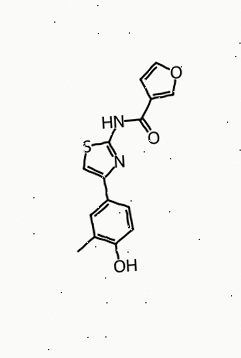 Cc1cc(-c2csc(NC(=O)c3ccoc3)n2)ccc1O